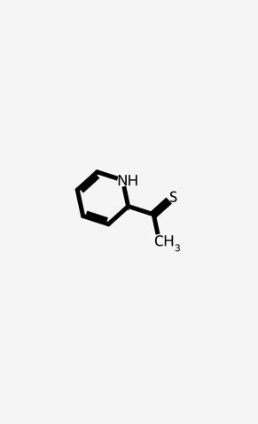 CC(=S)[C]1C=CC=CN1